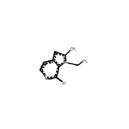 CCn1c(C)cc2ccnc(Cl)c21